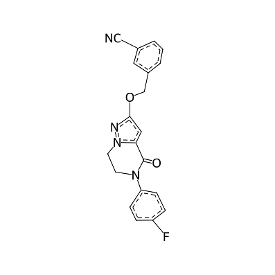 N#Cc1cccc(COc2cc3n(n2)CCN(c2ccc(F)cc2)C3=O)c1